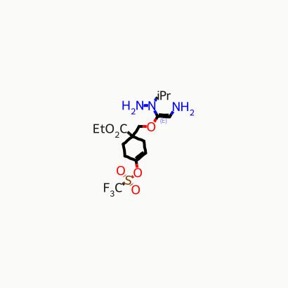 CCOC(=O)C1(CO/C(=C/N)N(N)C(C)C)CC=C(OS(=O)(=O)C(F)(F)F)CC1